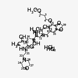 COCCCOc1cc(C[C@@H](C[C@H](N)[C@@H](O)C[C@H](C(=O)NCCN2CCOCC2)C(C)C)C(C)C)cc2c1OCO2.Cl.Cl